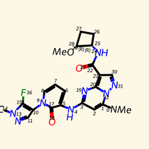 CNc1cc(Nc2cccn(-c3cnn(C)c3F)c2=O)nc2c(C(=O)N[C@@H]3CC[C@H]3OC)cnn12